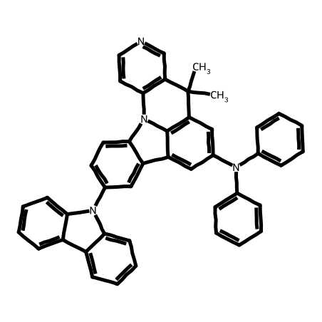 CC1(C)c2cnccc2-n2c3ccc(-n4c5ccccc5c5ccccc54)cc3c3cc(N(c4ccccc4)c4ccccc4)cc1c32